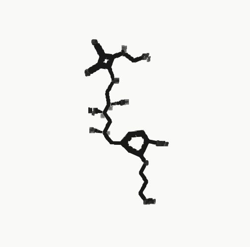 COCCCOc1cc(C[C@@H](C[C@H](N)[C@@H](O)CNc2c(NCC(F)(F)F)c(=O)c2=O)C(C)C)ccc1OC